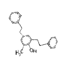 Cc1cc(CCc2ccccc2)cc(CCc2ccccc2)c1O